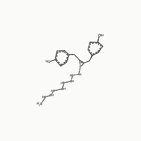 BBBBBBBBBB1C(Cc2ccc(O)cc2)=C1Cc1ccc(O)cc1